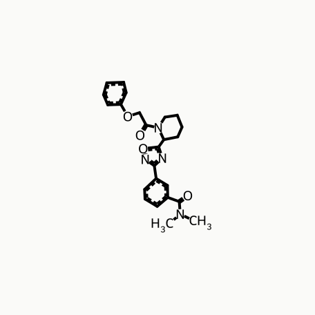 CN(C)C(=O)c1cccc(-c2noc(C3CCCCN3C(=O)COc3ccccc3)n2)c1